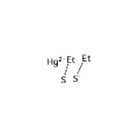 CC[S-].CC[S-].[Hg+2]